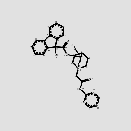 O=C(C[N+]12CCC(CC1)[C@@H](OC(=O)C1(O)c3ccccc3-c3ccccc31)C2)Nc1ncncn1